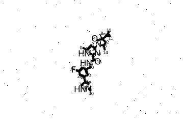 CC1=CC(N2C(=O)[C@](C)(C3CC3)CC2C)=NC(C(=O)NCc2cc(F)cc(C3=CN(C)NC3)c2)N1